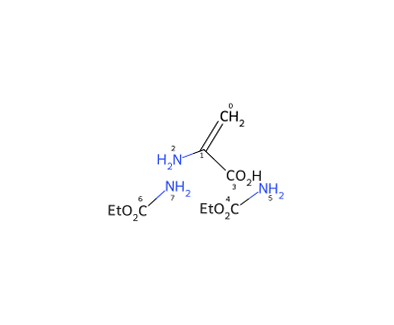 C=C(N)C(=O)O.CCOC(N)=O.CCOC(N)=O